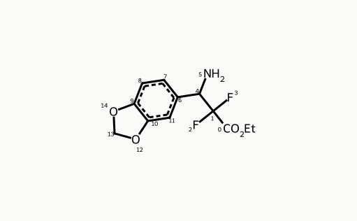 CCOC(=O)C(F)(F)C(N)c1ccc2c(c1)OCO2